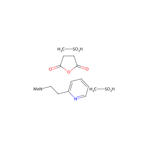 CNCCc1ccccn1.CS(=O)(=O)O.CS(=O)(=O)O.O=C1CCC(=O)O1